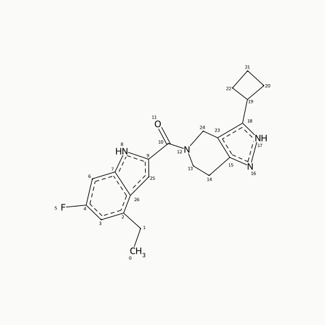 CCc1cc(F)cc2[nH]c(C(=O)N3CCc4n[nH]c(C5CCC5)c4C3)cc12